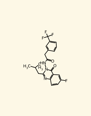 CC(C)Cc1nc2ccc(F)cc2c(=O)n1NC(=O)Cc1cccc(C(F)(F)F)c1